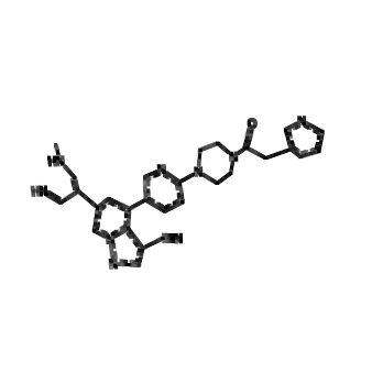 CN/C=C(\C=N)c1cc(-c2ccc(N3CCN(C(=O)Cc4cccnc4)CC3)nc2)c2c(C#N)cnn2c1